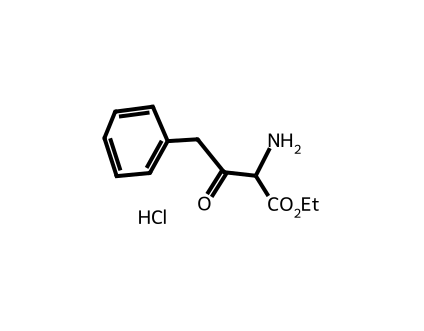 CCOC(=O)C(N)C(=O)Cc1ccccc1.Cl